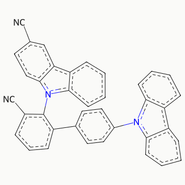 N#Cc1ccc2c(c1)c1ccccc1n2-c1c(C#N)cccc1-c1ccc(-n2c3ccccc3c3ccccc32)cc1